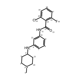 CN1CCC(Nc2cccc(NC(=O)c3c(F)cccc3Cl)c2)CC1